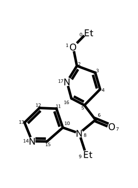 CCOc1ccc(C(=O)N(CC)c2cccnc2)cn1